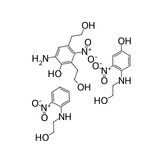 Nc1cc(CCO)c([N+](=O)[O-])c(CCO)c1O.O=[N+]([O-])c1cc(O)ccc1NCCO.O=[N+]([O-])c1ccccc1NCCO